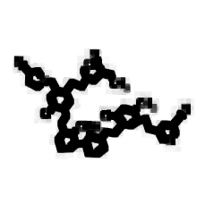 C=C/C(=C\C(C#N)=C/C)CCc1cc(CCc2cccc(-c3cccc(CCc4cc(CCc5cncc(C#N)c5)c(C)cc4Cl)c3C)c2C)c(Cl)cc1CN1CCC(C#N)C1